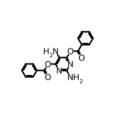 Nc1nc(OC(=O)c2ccccc2)c(N)c(OC(=O)c2ccccc2)n1